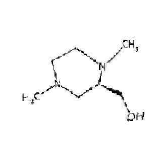 CN1CCN(C)[C@@H](CO)C1